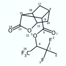 CC(F)(F)C(OC(=O)C1C2CC3OC(=O)C1C3C2)C(F)(F)F